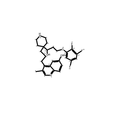 COc1ccc2ncc(C)c(CCCC3(C(O)CCOc4cc(F)cc(F)c4F)CCNCC3)c2c1